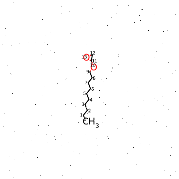 CCCCCCCCCCOC1CO1